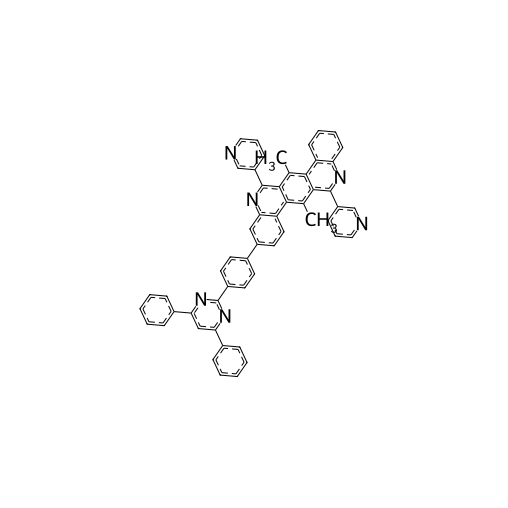 Cc1c2c(-c3cccnc3)nc3cc(-c4ccc(-c5nc(-c6ccccc6)cc(-c6ccccc6)n5)cc4)ccc3c2c(C)c2c(-c3cccnc3)nc3ccccc3c12